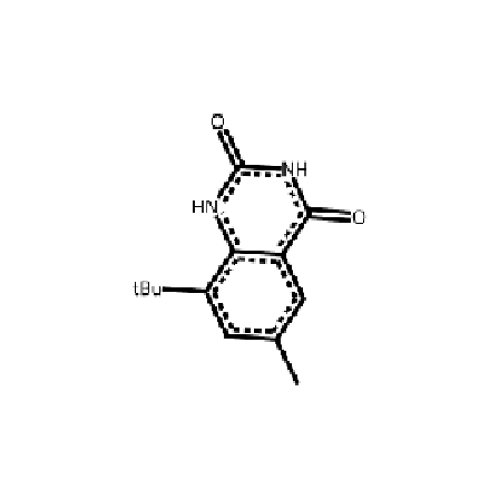 Cc1cc(C(C)(C)C)c2[nH]c(=O)[nH]c(=O)c2c1